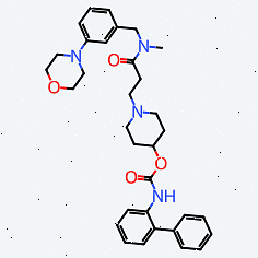 CN(Cc1cccc(N2CCOCC2)c1)C(=O)CCN1CCC(OC(=O)Nc2ccccc2-c2ccccc2)CC1